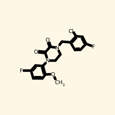 COc1ccc(F)cc1N1CCN(Cc2ccc(F)cc2Cl)C(=O)C1=O